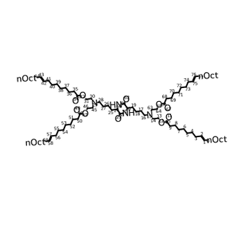 CCCCCCCC/C=C/CCCCCCCC(=O)OCCN(CCCCC1NC(=O)C(CCCCN(CCOC(=O)CCCCCCC/C=C/CCCCCCCC)CCOC(=O)CCCCCCC/C=C/CCCCCCCC)NC1=O)CCOC(=O)CCCCCCC/C=C/CCCCCCCC